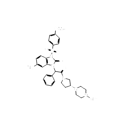 CCCN1CCN([C@H]2CCN(C(=O)C(c3ccccc3)n3c(=O)n(S(=O)(=O)c4ccc(OC)cc4)c4ccc(C#N)cc43)C2)CC1